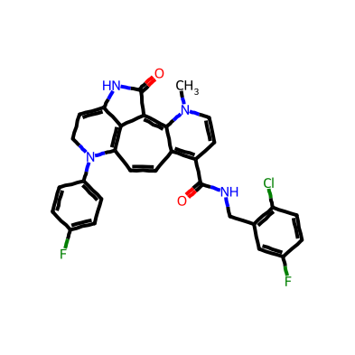 CN1C=CC(C(=O)NCc2cc(F)ccc2Cl)=c2ccc3c4c([nH]c(=O)c-4c21)=CCN3c1ccc(F)cc1